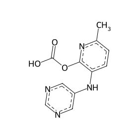 Cc1ccc(Nc2cncnc2)c(OC(=O)O)n1